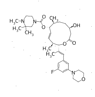 C/C(=C\c1cc(F)cc(N2CCOCC2)c1)[C@H]1OC(=O)C[C@H](O)CC[C@H](C)[C@@H](OC(=O)N2CCN(C)C(C)(C)C2)/C=C/[C@@H]1C